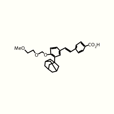 COCCOCOc1ccc(C=Cc2ccc(C(=O)O)cc2)cc1C12CC3CC(CC(C3)C1)C2